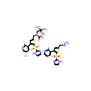 CC(C)(C)CN(Cc1cc(-c2cccnc2F)c(S(=O)(=O)c2ncc[nH]2)s1)C(=O)O.CNCc1cc(-c2cccnc2F)c(S(=O)(=O)c2ncc[nH]2)s1.Cl